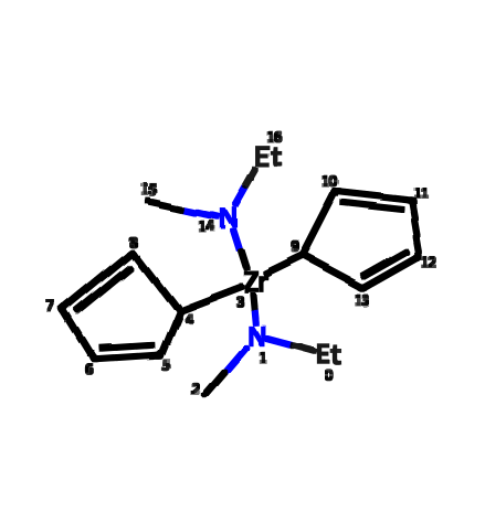 CC[N](C)[Zr]([CH]1C=CC=C1)([CH]1C=CC=C1)[N](C)CC